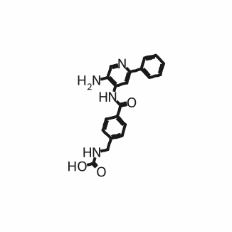 Nc1cnc(-c2ccccc2)cc1NC(=O)c1ccc(CNC(=O)O)cc1